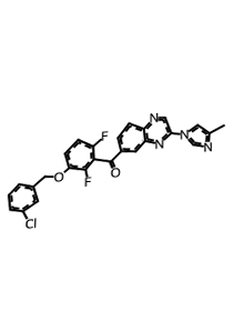 Cc1cn(-c2cnc3ccc(C(=O)c4c(F)ccc(OCc5cccc(Cl)c5)c4F)cc3n2)cn1